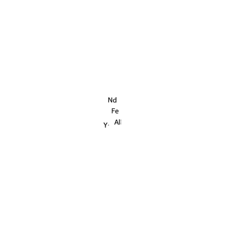 [Al].[Fe].[Nd].[Y]